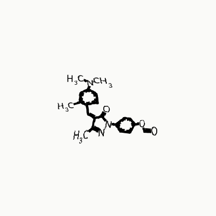 CC1=NN(c2ccc(OC=O)cc2)C(=O)C1=Cc1ccc(N(C)C)cc1C